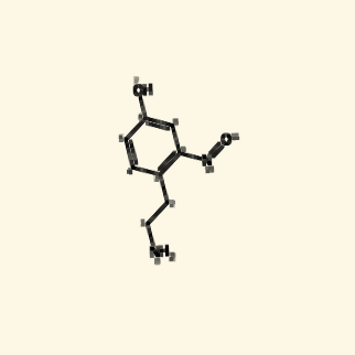 NCCc1ccc(O)cc1N=O